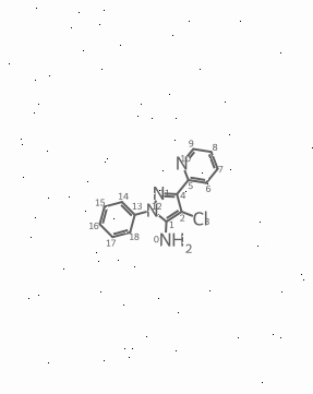 Nc1c(Cl)c(-c2ccccn2)nn1-c1ccccc1